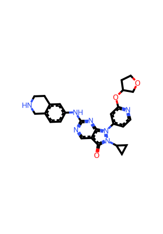 O=c1c2cnc(Nc3ccc4c(c3)CCNC4)nc2n(-c2ccnc(OC3CCOC3)c2)n1C1CC1